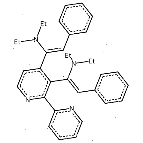 CCN(CC)C(=Cc1ccccc1)c1ccnc(-c2ccccn2)c1C(=Cc1ccccc1)N(CC)CC